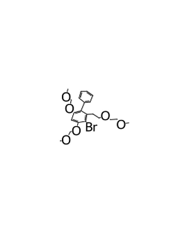 COCCOCCc1c(Br)c(OCOC)cc(OCOC)c1-c1ccccc1